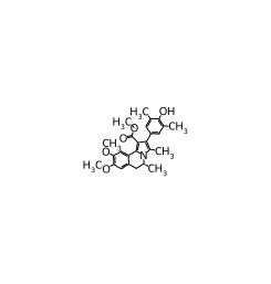 COC(=O)c1c(-c2cc(C)c(O)c(C)c2)c(C)n2c1-c1cc(OC)c(OC)cc1C[C@@H]2C